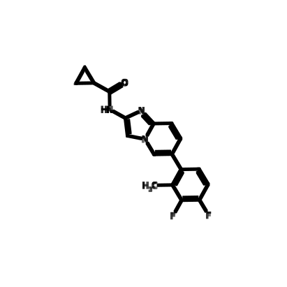 Cc1c(-c2ccc3nc(NC(=O)C4CC4)cn3c2)ccc(F)c1F